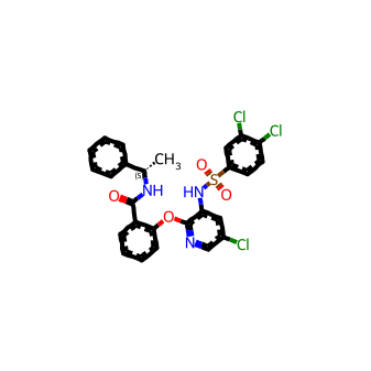 C[C@H](NC(=O)c1ccccc1Oc1ncc(Cl)cc1NS(=O)(=O)c1ccc(Cl)c(Cl)c1)c1ccccc1